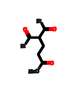 CCC(=O)C(CCC(=O)OC)C(=O)CC